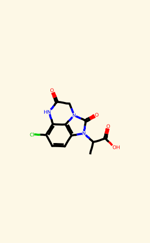 CC(C(=O)O)n1c(=O)n2c3c(c(Cl)ccc31)NC(=O)C2